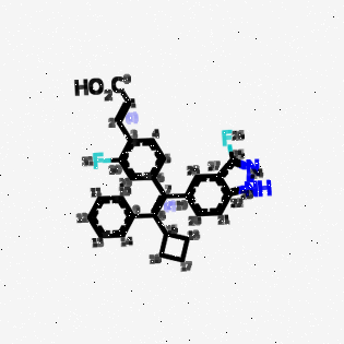 O=C(O)/C=C/c1ccc(/C(=C(\c2ccccc2)C2CCC2)c2ccc3[nH]nc(F)c3c2)cc1F